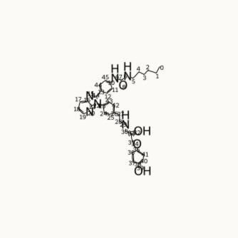 CCCCCCNC(=O)Nc1ccc(-c2nc3cccnc3n2-c2ccc(CCNC[C@H](O)COc3ccc(O)cc3)cc2)cc1